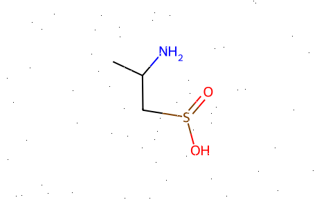 CC(N)CS(=O)O